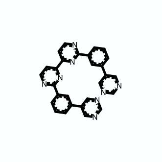 c1cc(-c2cncnc2)cc(-c2nccc(-c3ccnc(-c4cccc(-c5cncnc5)c4)n3)n2)c1